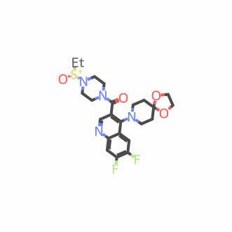 CC[S+]([O-])N1CCN(C(=O)c2cnc3cc(F)c(F)cc3c2N2CCC3(CC2)OCCO3)CC1